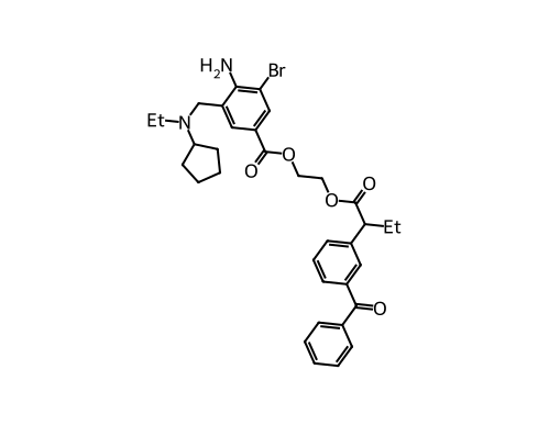 CCC(C(=O)OCCOC(=O)c1cc(Br)c(N)c(CN(CC)C2CCCC2)c1)c1cccc(C(=O)c2ccccc2)c1